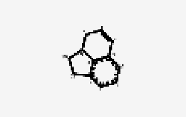 [C]1C=Cc2cccc3c2C1CC3